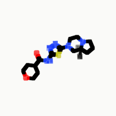 O=C(Nc1nnc(N2CCN3CCC[C@H]3C2)s1)C1CCOCC1